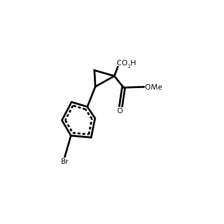 COC(=O)C1(C(=O)O)CC1c1ccc(Br)cc1